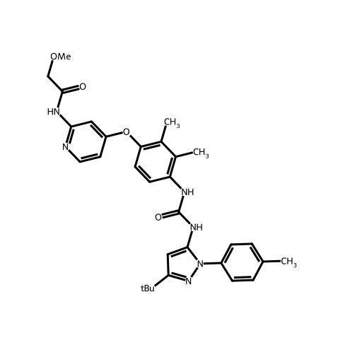 COCC(=O)Nc1cc(Oc2ccc(NC(=O)Nc3cc(C(C)(C)C)nn3-c3ccc(C)cc3)c(C)c2C)ccn1